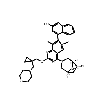 Oc1cc(-c2c(F)cc3c(N4C[C@@H]5C[C@@H](O)[C@H](C4)N5)nc(OCC4(CN5CCOCC5)CC4)nc3c2F)c2ccccc2c1